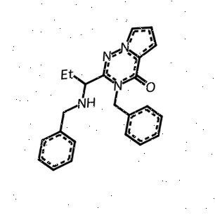 CCC(NCc1ccccc1)c1nn2cccc2c(=O)n1Cc1ccccc1